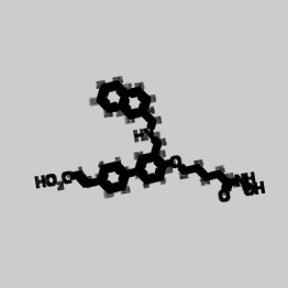 O=C(O)C=Cc1ccc(-c2ccc(OCCCCC(=O)NO)c(CNCc3ccc4ccccc4c3)c2)cc1